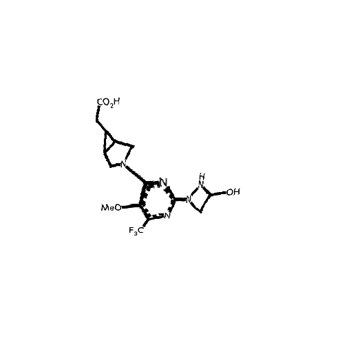 COc1c(N2CC3C(CC(=O)O)C3C2)nc(N2CC(O)N2)nc1C(F)(F)F